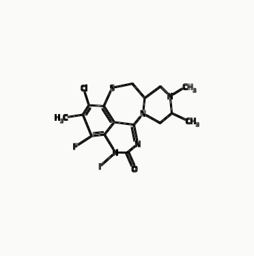 Cc1c(Cl)c2c3c(nc(=O)n(I)c3c1F)N1CC(C)N(C)CC1CS2